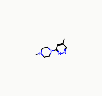 Cc1cnnc(N2CCN(C)CC2)c1